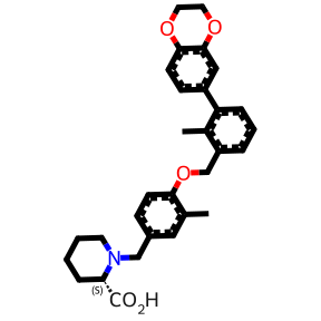 Cc1cc(CN2CCCC[C@H]2C(=O)O)ccc1OCc1cccc(-c2ccc3c(c2)OCCO3)c1C